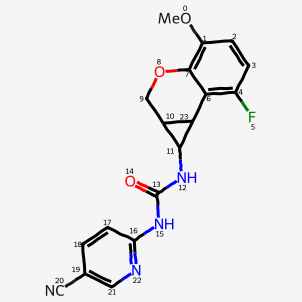 COc1ccc(F)c2c1OCC1C(NC(=O)Nc3ccc(C#N)cn3)C21